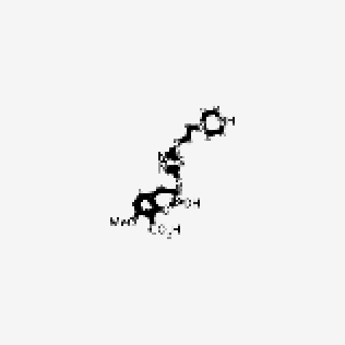 COc1ccc2c(c1C(=O)O)OB(O)[C@@H](Sc1nnc(SCCN3CCNCC3)s1)C2